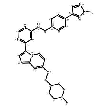 CN1CCC(COc2ccn3c(-c4cc(NCc5ccc(-c6cnn(C)n6)cc5)ncn4)cnc3c2)CC1